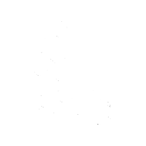 CN1CCN(c2ncc3ncn(-c4ccc5[nH]ncc5c4)c3n2)CC1